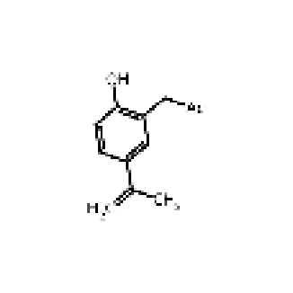 C=C(C)c1ccc(O)c(CC(C)=O)c1